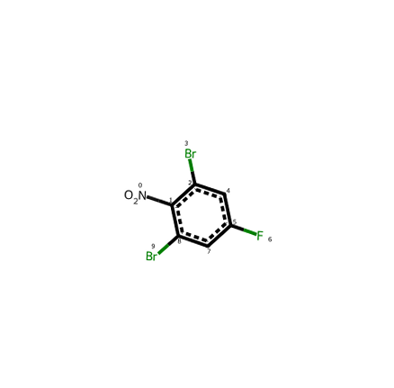 O=[N+]([O-])c1c(Br)cc(F)cc1Br